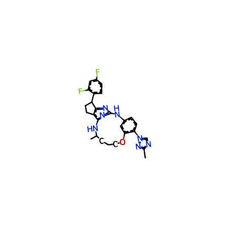 Cc1ncn(-c2ccc3cc2OCCCC(C)Nc2nc(nc4c2CCC4c2ccc(F)cc2F)N3)n1